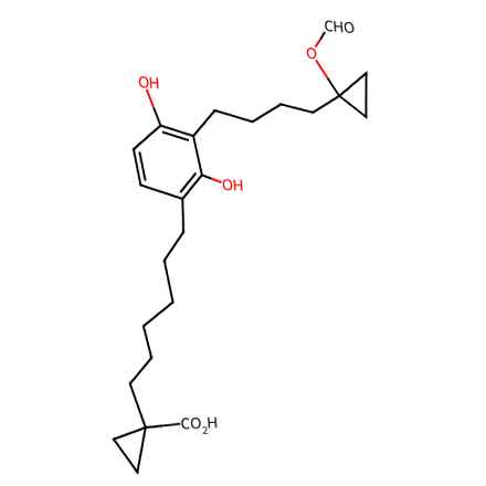 O=COC1(CCCCc2c(O)ccc(CCCCCCC3(C(=O)O)CC3)c2O)CC1